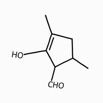 CC1=C(O)C(C=O)C(C)C1